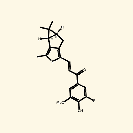 COc1cc(C(=O)C=Cc2sc(C)c3c2C[C@@H]2[C@H]3C2(C)C)cc(F)c1O